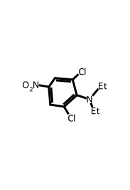 CCN(CC)c1c(Cl)cc([N+](=O)[O-])cc1Cl